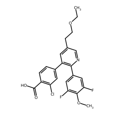 CCOCCc1cnc(-c2cc(F)c(OC)c(F)c2)c(-c2ccc(C(=O)O)c(Cl)c2)c1